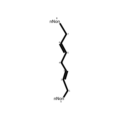 CCCCCCCCCC/C=C/[C]/C=C/CCCCCCCCCC